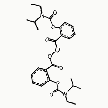 CCN(C(=O)Oc1ccccc1C(=O)OOC(=O)c1ccccc1OC(=O)N(CC)C(C)C)C(C)C